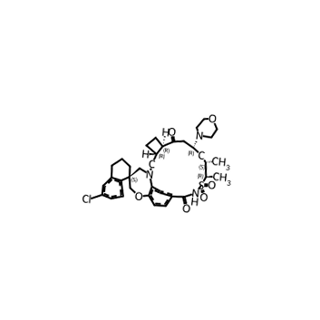 C[C@@H]1[C@@H](C)C[C@@H](N2CCOCC2)CC(=O)[C@@H]2CC[C@H]2CN2C[C@@]3(CCCc4cc(Cl)ccc43)COc3ccc(cc32)C(=O)NS1(=O)=O